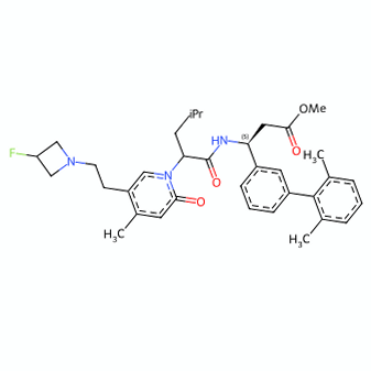 COC(=O)C[C@H](NC(=O)C(CC(C)C)n1cc(CCN2CC(F)C2)c(C)cc1=O)c1cccc(-c2c(C)cccc2C)c1